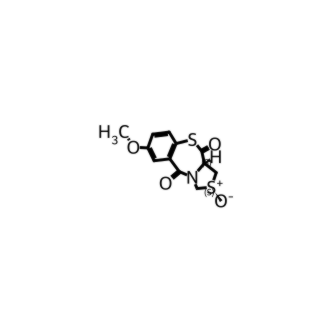 COc1ccc2c(c1)C(=O)N1C[S@+]([O-])C[C@H]1C(=O)S2